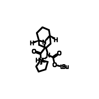 CN(C(=O)OC(C)(C)C)C1C[C@H]2CCC[C@@H](C1)N2CC(=O)N1CCCC1